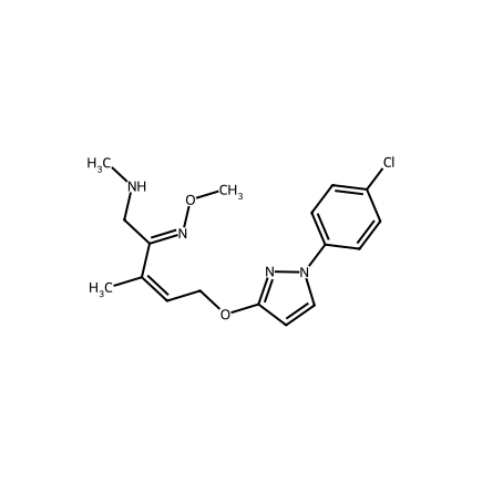 CNCC(=NOC)C(C)=CCOc1ccn(-c2ccc(Cl)cc2)n1